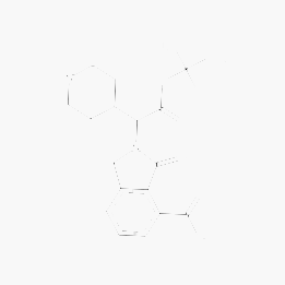 CC(C)(C)OC(=O)C(C1CCNCC1)N1Cc2cccc(C(=O)O)c2C1=O